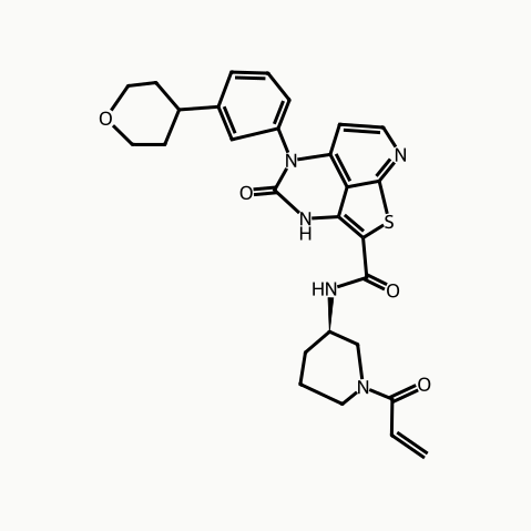 C=CC(=O)N1CCC[C@@H](NC(=O)c2sc3nccc4c3c2NC(=O)N4c2cccc(C3CCOCC3)c2)C1